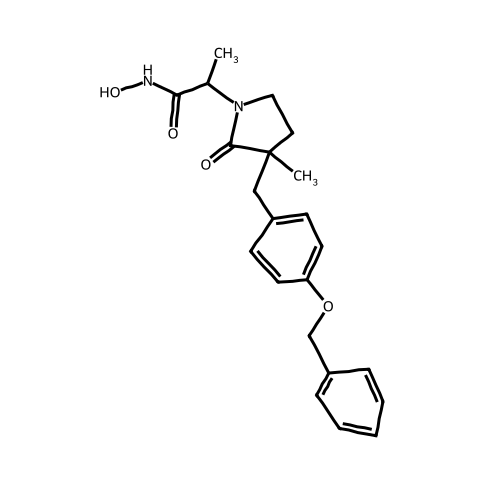 CC(C(=O)NO)N1CCC(C)(Cc2ccc(OCc3ccccc3)cc2)C1=O